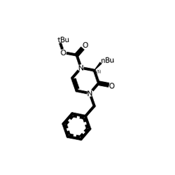 CCCC[C@H]1C(=O)N(Cc2ccccc2)C=CN1C(=O)OC(C)(C)C